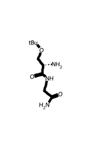 CC(C)(C)OC[C@H](N)C(=O)NCC(N)=O